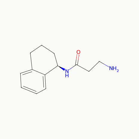 NCCC(=O)N[C@@H]1CCCc2ccccc21